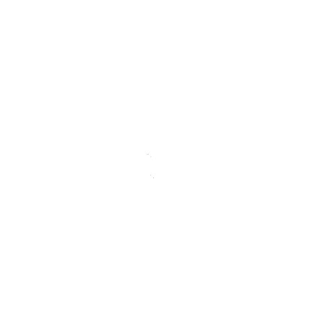 O=S(=O)(O)N(Nc1cccc2ccccc12)c1cccc2ccccc12